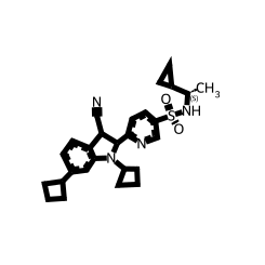 C[C@H](NS(=O)(=O)c1ccc(C2C(C#N)c3ccc(C4CCC4)cc3N2C2CCC2)nc1)C1CC1